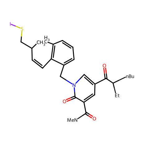 CCCCC(CC)C(=O)c1cc(C(=O)NC)c(=O)n(Cc2cccc(C)c2/C=C\C(C)CSI)c1